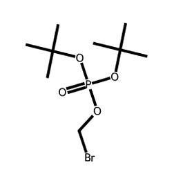 CC(C)(C)OP(=O)(OCBr)OC(C)(C)C